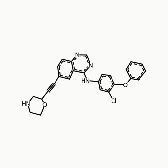 Clc1cc(Nc2ncnc3ccc(C#CC4CNCCO4)cc23)ccc1Oc1ccccc1